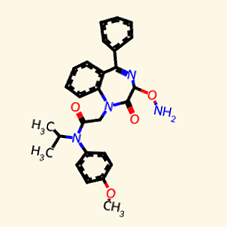 COc1ccc(N(C(=O)CN2C(=O)C(ON)N=C(c3ccccc3)c3ccccc32)C(C)C)cc1